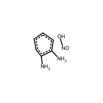 Nc1ccccc1N.O=NO